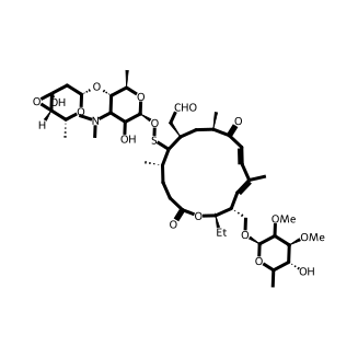 CC[C@H]1OC(=O)CC[C@H](C)C(SO[C@@H]2O[C@H](C)[C@@H](O[C@H]3CC4(O)O[C@H]4[C@@H](C)O3)C(N(C)C)C2O)[C@@H](CC=O)C[C@@H](C)C(=O)/C=C/C(C)=C/[C@@H]1CO[C@@H]1OC(C)[C@@H](O)[C@H](OC)C1OC